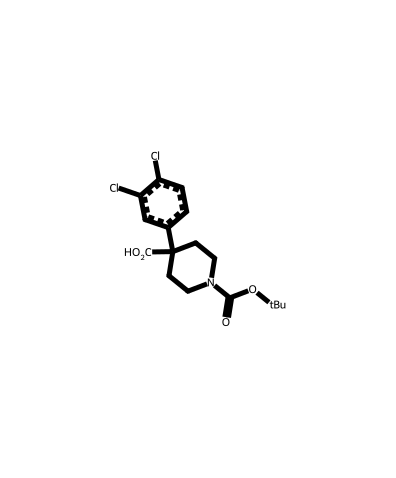 CC(C)(C)OC(=O)N1CCC(C(=O)O)(c2ccc(Cl)c(Cl)c2)CC1